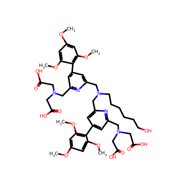 COc1cc(OC)c(-c2cc(CN(CC(=O)O)CC(=O)O)nc(CN(CCCCCCO)Cc3cc(-c4c(OC)cc(OC)cc4OC)cc(CN(CC(=O)O)CC(=O)O)n3)c2)c(OC)c1